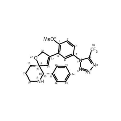 COc1ccc(-n2nnnc2C(F)(F)F)cc1C1=C[C@@]2(CCCN[C@H]2c2ccccc2)OC1